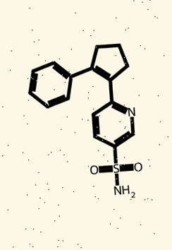 NS(=O)(=O)c1ccc(C2=C(c3ccccc3)CCC2)nc1